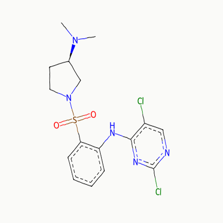 CN(C)[C@@H]1CCN(S(=O)(=O)c2ccccc2Nc2nc(Cl)ncc2Cl)C1